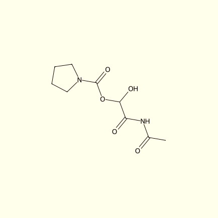 CC(=O)NC(=O)C(O)OC(=O)N1CCCC1